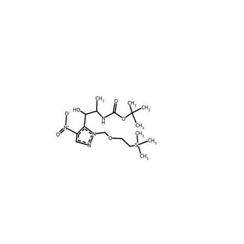 CC(NC(=O)OC(C)(C)C)C(O)c1c([N+](=O)[O-])cnn1COCC[Si](C)(C)C